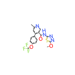 COc1nnc(NC(=O)c2cnc(C)cc2-c2ccc(OC(F)(F)F)cc2)s1